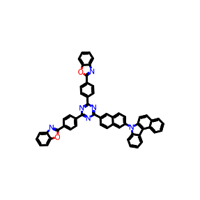 c1ccc2c(c1)ccc1c2c2ccccc2n1-c1ccc2cc(-c3nc(-c4ccc(-c5nc6ccccc6o5)cc4)nc(-c4ccc(-c5nc6ccccc6o5)cc4)n3)ccc2c1